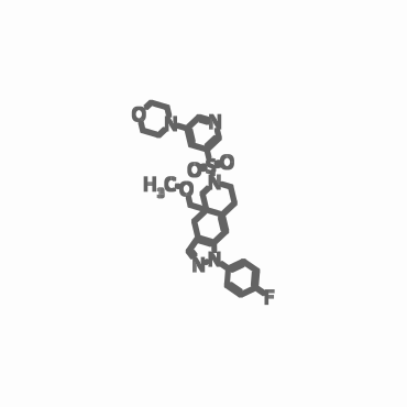 COCC12Cc3cnn(-c4ccc(F)cc4)c3C=C1CCN(S(=O)(=O)c1cncc(N3CCOCC3)c1)C2